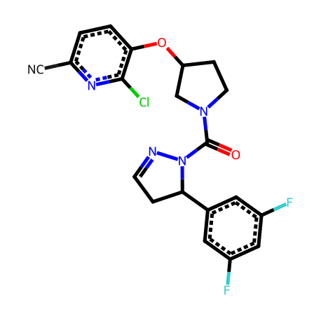 N#Cc1ccc(OC2CCN(C(=O)N3N=CCC3c3cc(F)cc(F)c3)C2)c(Cl)n1